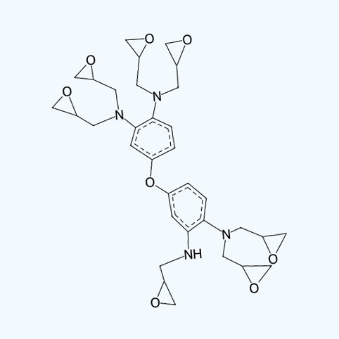 c1cc(N(CC2CO2)CC2CO2)c(NCC2CO2)cc1Oc1ccc(N(CC2CO2)CC2CO2)c(N(CC2CO2)CC2CO2)c1